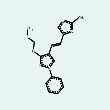 COCOc1nn(-c2ccccc2)cc1/C=C/c1csc(C)n1